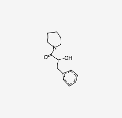 O=C(C(O)Cc1ccccc1)N1CCCCC1